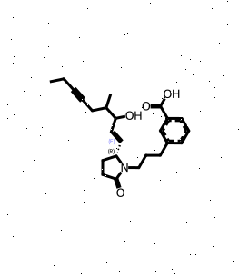 CCC#CCC(C)C(O)/C=C/[C@H]1CCC(=O)N1CCCc1cccc(C(=O)O)c1